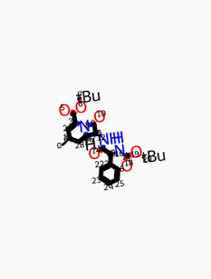 C[C@H]1C=C(C(=O)OC(C)(C)C)N2C(=O)[C@H](NC(=O)[C@H](NC(=O)OC(C)(C)C)c3ccccc3)[C@@H]2C1